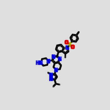 Cc1ccc(S(=O)(=O)n2cc(C)c3c(-c4nc5c(c(N6CCNCC6)n4)CN(c4cc(C(C)C)nn4C)CC5)cccc32)cc1